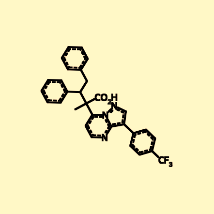 CC(C(=O)O)(c1ccnc2c(-c3ccc(C(F)(F)F)cc3)cnn12)C(Cc1ccccc1)c1ccccc1